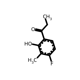 CCC(=O)c1ccc(F)c(C)c1O